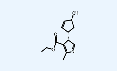 CCOC(=O)C1=C(C)N=CC1[C@@H]1C=C[C@@H](O)C1